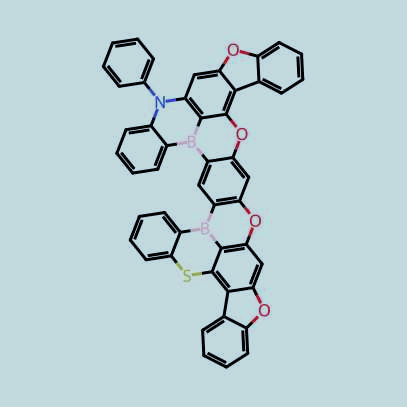 c1ccc(N2c3ccccc3B3c4cc5c(cc4Oc4c3c2cc2oc3ccccc3c42)Oc2cc3oc4ccccc4c3c3c2B5c2ccccc2S3)cc1